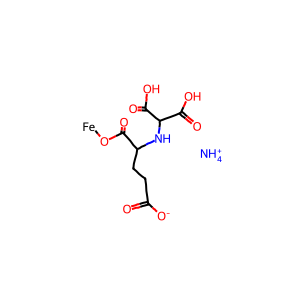 O=C([O-])CCC(NC(C(=O)O)C(=O)O)C(=O)[O][Fe].[NH4+]